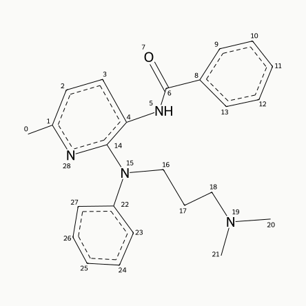 Cc1ccc(NC(=O)c2ccccc2)c(N(CCCN(C)C)c2ccccc2)n1